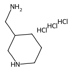 Cl.Cl.Cl.NCC1CCCNC1